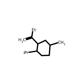 C=C([CH]C)C1CC(C)CCC1C(C)C